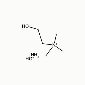 C[N+](C)(C)CCO.N.[OH-]